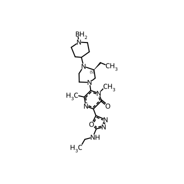 BN1CCC(N2CCN(c3c(C)nc(-c4nnc(NCC)o4)c(=O)n3C)C[C@@H]2CC)CC1